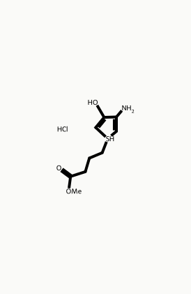 COC(=O)CCC[SH]1C=C(N)C(O)=C1.Cl